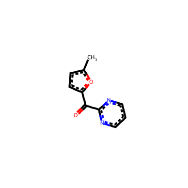 Cc1ccc(C(=O)c2ncccn2)o1